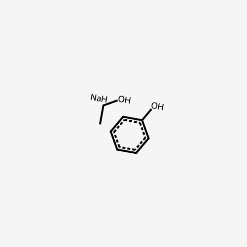 CCO.Oc1ccccc1.[NaH]